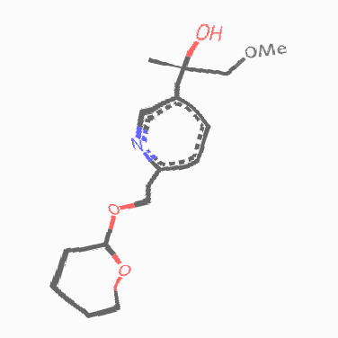 COC[C@@](C)(O)c1ccc(COC2CCCCO2)nc1